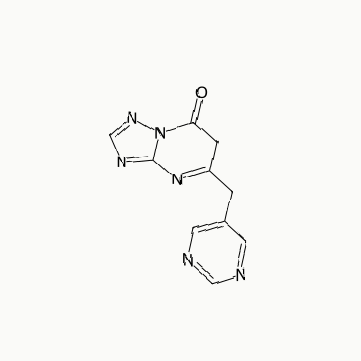 O=C1CC(Cc2cncnc2)=Nc2ncnn21